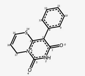 O=c1[nH]c(=O)n2c(c1-c1ccccc1)SC=CC2